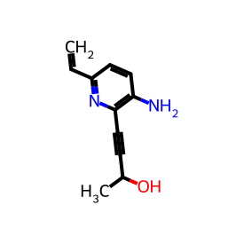 C=Cc1ccc(N)c(C#CC(C)O)n1